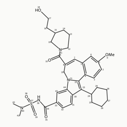 COc1ccc2c(c1)C=C(C(=O)N1CCCC(CCO)C1)Cn1c-2c(C2CCCCC2)c2ccc(C(=O)NS(=O)(=O)N(C)C)cc21